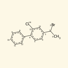 CC(Br)c1ccc(-c2ccccc2)c(Cl)c1